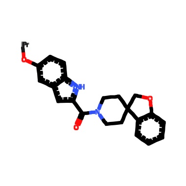 CC(C)Oc1ccc2[nH]c(C(=O)N3CCC4(CC3)COc3ccccc34)cc2c1